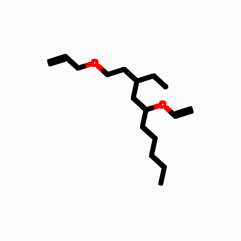 C=CCOCCC(CC)CC(CCCCC)OC=C